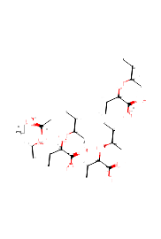 CCC(C)OC(CC)C(=O)[O-].CCC(C)OC(CC)C(=O)[O-].CCC(C)OC(CC)C(=O)[O-].CCOC(C)=O.[Al+3]